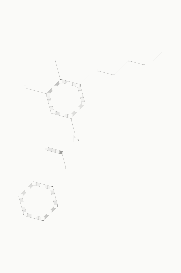 COCCOc1cc(NC(=O)Oc2ccccc2)cc(Cl)c1C